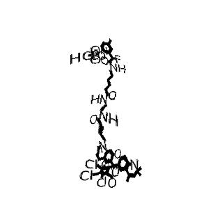 CC1=CC(C)(C)N(C)c2cc3c(cc21)[C@]1(OC(=O)c2c(Cl)c(Cl)c(Cl)c(Cl)c21)c1cc2c(cc1O3)N(CCCC(=O)NCCNC(=O)CCCCCNC(=O)C(F)c1cc(C)ccc1OP(=O)(O)O)CCC2